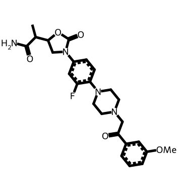 COc1cccc(C(=O)CN2CCN(c3ccc(N4CC(C(C)C(N)=O)OC4=O)cc3F)CC2)c1